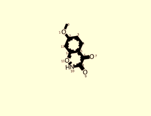 COc1ccc2c(=O)c(=O)[nH]oc2c1